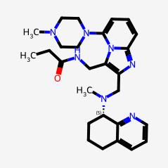 CCC(=O)NCc1c(CN(C)[C@H]2CCCc3cccnc32)nc2cccc(N3CCN(C)CC3)n12